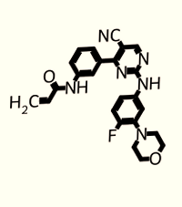 C=CC(=O)Nc1cccc(-c2nc(Nc3ccc(F)c(N4CCOCC4)c3)ncc2C#N)c1